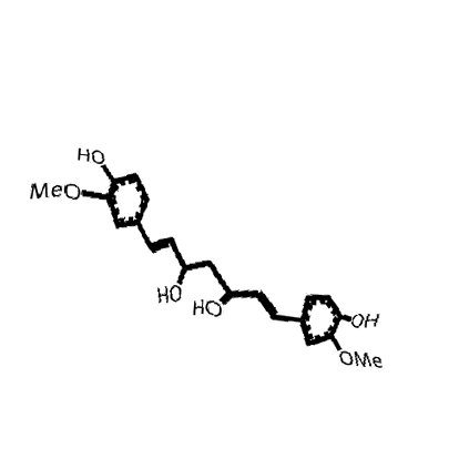 COc1cc(C=CC(O)CC(O)C=Cc2ccc(O)c(OC)c2)ccc1O